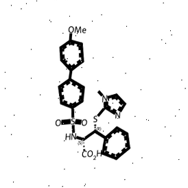 COc1ccc(-c2ccc(S(=O)(=O)N[C@@H](C(=O)O)[C@H](Sc3nccn3C)c3ccccc3)cc2)cc1